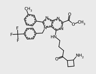 COC(=O)c1nc(NCCCC(=O)C2CCC2N)c2c(n1)nc(-c1cccc(C)c1)n2Cc1ccc(C(F)(F)F)cc1